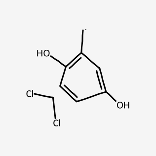 ClCCl.[CH2]c1cc(O)ccc1O